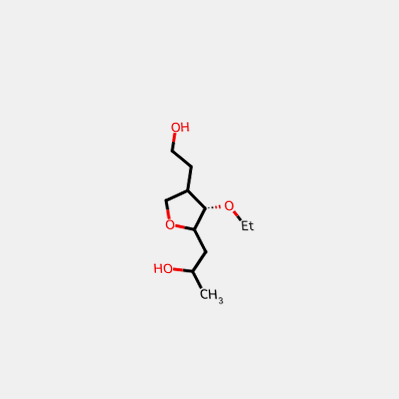 CCO[C@H]1C(CCO)COC1CC(C)O